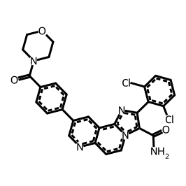 NC(=O)c1c(-c2c(Cl)cccc2Cl)nc2c3cc(-c4ccc(C(=O)N5CCOCC5)cc4)cnc3ccn12